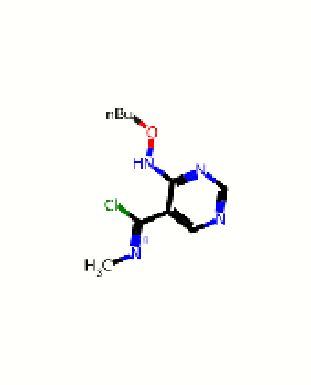 CCCCONc1ncncc1/C(Cl)=N/C